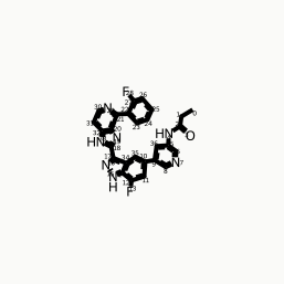 CCC(=O)Nc1cncc(-c2cc(F)c3[nH]nc(-c4nc5c(-c6ccccc6F)nccc5[nH]4)c3c2)c1